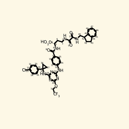 O=C(NCC[C@H](NC(=O)c1ccc(Nc2nc(NC3(c4ccc(Cl)cc4)CC3)nc(OCC(F)(F)F)n2)cc1)C(=O)O)C(=O)NCC1CCc2ccccc21